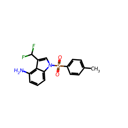 Cc1ccc(S(=O)(=O)n2cc(C(F)F)c3c(N)cccc32)cc1